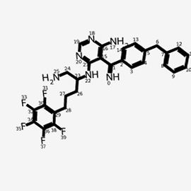 N=C(c1ccc(Cc2ccccc2)cc1)c1c(N)ncnc1NC(CN)CCCc1c(F)c(F)c(F)c(F)c1F